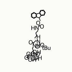 CC(C)(C)OC(=O)N[C@@H](CCCCNC(=O)OCC1c2ccccc2-c2ccccc21)C(=O)NCCCC(O)(P(=O)(O)O)P(=O)(O)O